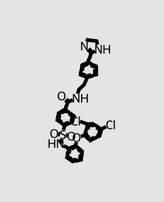 O=C(NCCc1ccc(C2=NCCN2)cc1)c1ccc(S(=O)(=O)Nc2ccccc2Oc2ccc(Cl)cc2Cl)cc1